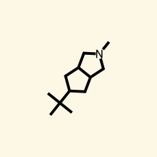 CN1CC2CC(C(C)(C)C)CC2C1